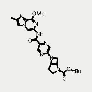 COc1nc(NC(=O)c2cnc(N3CC4C3CCN4C(=O)OC(C)(C)C)cn2)cn2cc(C)nc12